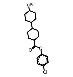 CCCC1CCC(C2CCC(C(=O)Oc3ccc(Cl)cc3)CC2)CC1